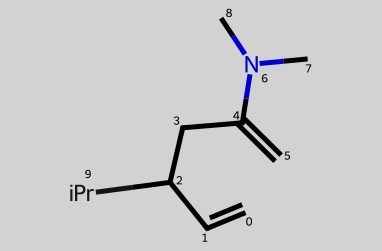 C=CC(CC(=C)N(C)C)C(C)C